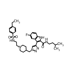 CCc1ccc(S(=O)(=O)NCCN2CCC(Cn3cc(-c4c(C(=O)NCCC(C)C)[nH]c5ccc(F)cc45)nn3)CC2)cc1